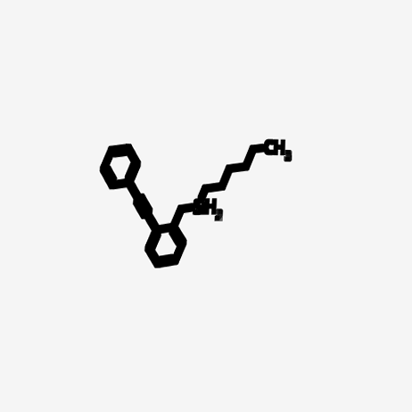 CCCCCC[SiH2]Cc1ccccc1C#Cc1ccccc1